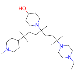 CCN1CCN(C(C)(C)CCC(C)(CCC(C)(C)C2CCN(C)CC2)N2CCC(O)CC2)CC1